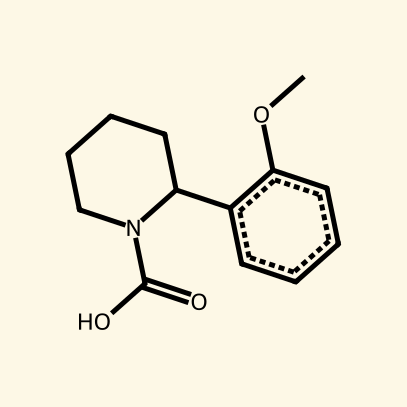 COc1ccccc1C1CCCCN1C(=O)O